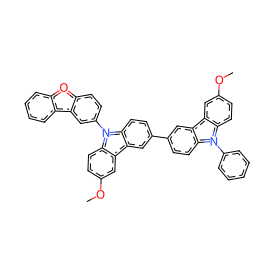 COc1ccc2c(c1)c1cc(-c3ccc4c(c3)c3cc(OC)ccc3n4-c3ccc4oc5ccccc5c4c3)ccc1n2-c1ccccc1